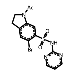 CC(=O)N1CCc2cc(Br)c(S(=O)(=O)Nc3ncccn3)cc21